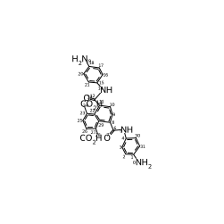 Nc1ccc(NC(=O)c2ccc(C(=O)Nc3ccc(N)cc3)c3c(C(=O)O)ccc(C(=O)O)c23)cc1